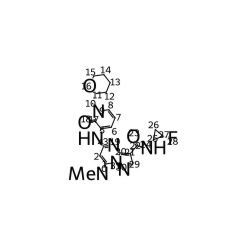 CNc1cc(Nc2cccn(C[C@H]3CCCCO3)c2=O)nc2c(C(=O)N[C@@H]3C[C@@H]3F)cnn12